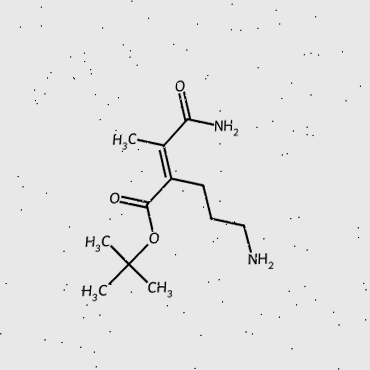 CC(C(N)=O)=C(CCCN)C(=O)OC(C)(C)C